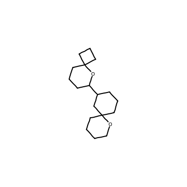 C1CCC2(CCCC(C3CCCC4(CCC4)O3)C2)OC1